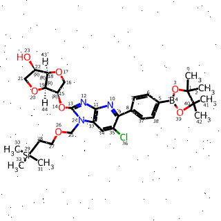 CC1(C)OB(c2ccc(-c3nc4nc(O[C@@H]5CO[C@H]6[C@@H]5OC[C@H]6O)n(COCC[Si](C)(C)C)c4cc3Cl)cc2)OC1(C)C